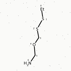 CCSSCOCN